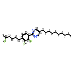 CCCCCCCCCCc1cnc(-c2ccc(CCCCC(C)F)c(F)c2F)nc1